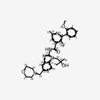 COc1ccccc1-c1nc(C)cc(C(=O)Nc2nc3cc(CN4CCOCC4)ccc3n2CC(C)(C)O)c1F